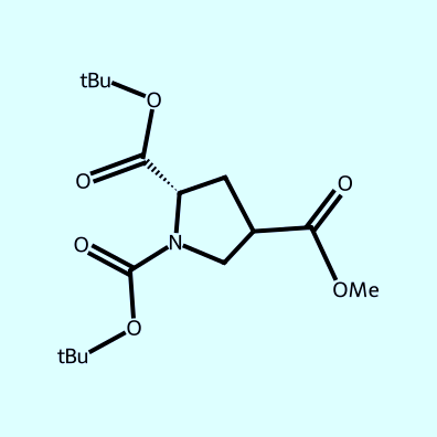 COC(=O)C1C[C@@H](C(=O)OC(C)(C)C)N(C(=O)OC(C)(C)C)C1